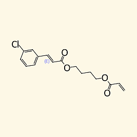 C=CC(=O)OCCCCOC(=O)/C=C/c1cccc(Cl)c1